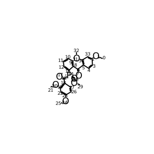 COc1ccc(C(=O)c2ccccc2[P](=O)C(=O)c2c(OC)cc(OC)cc2OC)c(OC)c1